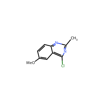 COc1ccc2nc(C)nc(Cl)c2c1